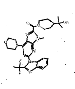 Cn1c(C(=O)N2CCC(C(C)(C)O)CC2)nc2c(N3CCOCC3)nc(-n3c(C(C)(F)F)nc4ccccc43)nc21